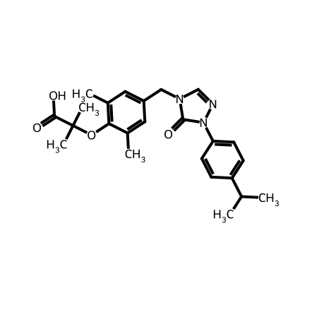 Cc1cc(Cn2cnn(-c3ccc(C(C)C)cc3)c2=O)cc(C)c1OC(C)(C)C(=O)O